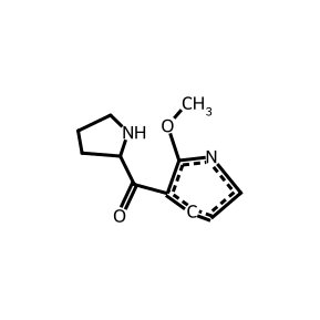 COc1ncccc1C(=O)C1CCCN1